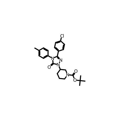 Cc1ccc(-n2c(-c3ccc(Cl)cc3)nn(C3CCCN(C(=O)OC(C)(C)C)C3)c2=O)cc1